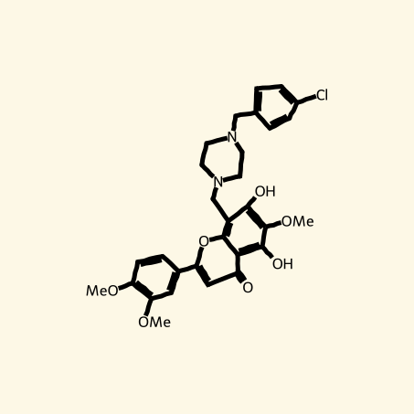 COc1ccc(-c2cc(=O)c3c(O)c(OC)c(O)c(CN4CCN(Cc5ccc(Cl)cc5)CC4)c3o2)cc1OC